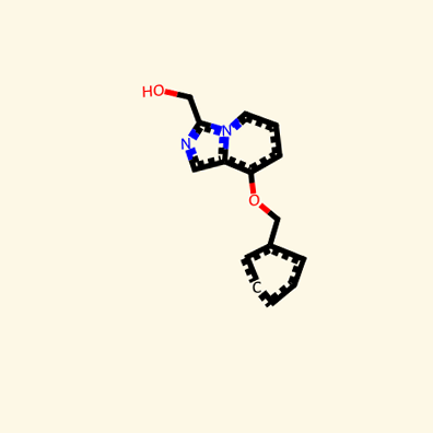 OCc1ncc2c(OCc3ccccc3)cccn12